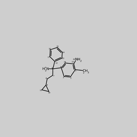 Cc1ccc(C(N)(CCC2CC2)c2ccccc2)cc1N